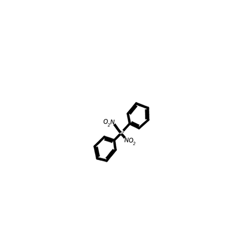 O=[N+]([O-])[I+](c1ccccc1)(c1ccccc1)[N+](=O)[O-]